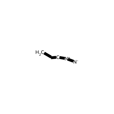 C=C=C=[N+]=[N-]